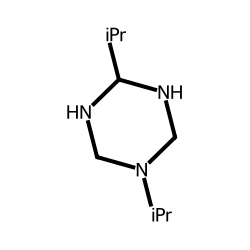 CC(C)C1NCN(C(C)C)CN1